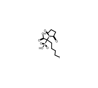 O=C1CCC(=O)N1C(CCCCI)(C(=O)O)S(=O)(=O)O